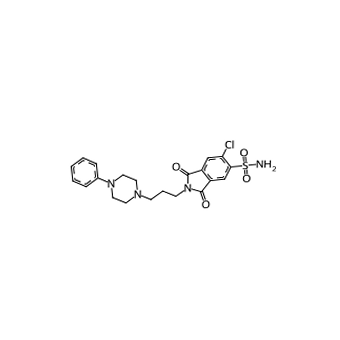 NS(=O)(=O)c1cc2c(cc1Cl)C(=O)N(CCCN1CCN(c3ccccc3)CC1)C2=O